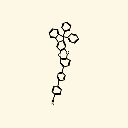 N#Cc1ccc(-c2ccc(-c3ccc4c(c3)Oc3cc5c(cc3O4)C(c3ccccc3)(c3ccccc3)c3ccccc3-5)cc2)cc1